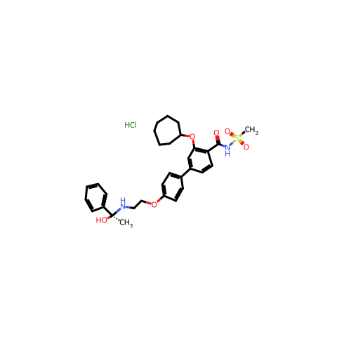 C[C@@](O)(NCCOc1ccc(-c2ccc(C(=O)NS(C)(=O)=O)c(OC3CCCCCC3)c2)cc1)c1ccccc1.Cl